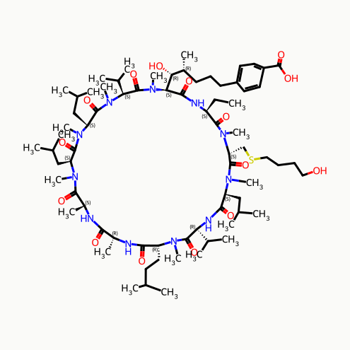 CC[C@@H]1NC(=O)[C@H]([C@H](O)[C@H](C)CCCc2ccc(C(=O)O)cc2)N(C)C(=O)[C@H](C(C)C)N(C)C(=O)[C@H](CC(C)C)N(C)C(=O)[C@H](CC(C)C)N(C)C(=O)[C@H](C)NC(=O)[C@@H](C)NC(=O)[C@@H](CCC(C)C)N(C)C(=O)[C@@H](C(C)C)NC(=O)[C@H](CC(C)C)N(C)C(=O)[C@@H](CSCCCCO)N(C)C1=O